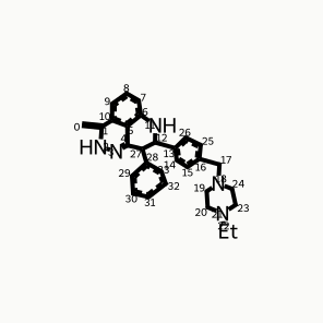 C=C1NN=C2c3c(cccc31)NC(c1ccc(CN3CCN(CC)CC3)cc1)C2c1ccccc1